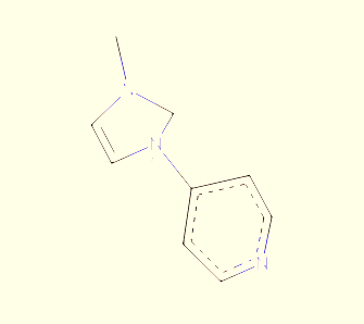 CN1C=CN(c2ccncc2)C1